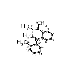 CCC(C)c1ccccc1N(C)c1ccccc1C